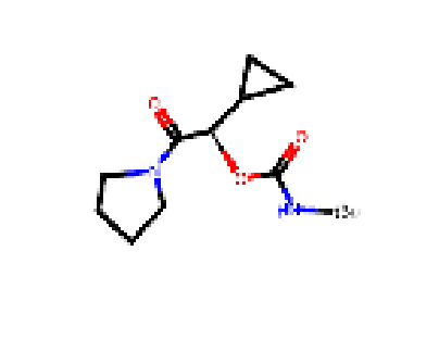 CC(C)(C)NC(=O)O[C@@H](C(=O)N1CCCC1)C1CC1